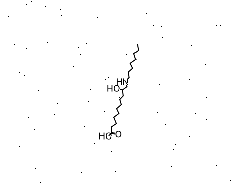 CCCCCCCCNCC(O)CCCCCCCCC(=O)O